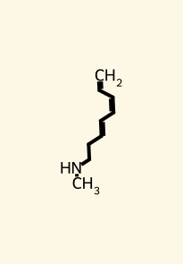 C=C/C=C\C=C\CCNC